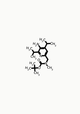 CC(C)c1cc(CN(C)C(=O)OC(C)(C)C)nc(C(C)C)c1N